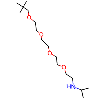 CC(C)NCCOCCOCCOCCOCC(C)(C)C